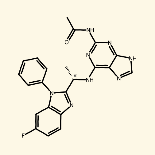 CC(=O)Nc1nc(N[C@@H](C)c2nc3ccc(F)cc3n2-c2ccccc2)c2nc[nH]c2n1